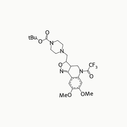 COc1cc2c(cc1OC)N(C(=O)C(F)(F)F)CC1C2=NOC1CN1CCN(C(=O)OC(C)(C)C)CC1